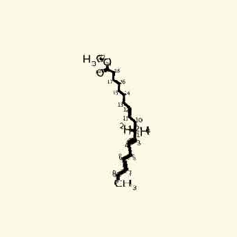 [2H]C([2H])(C=CCC=CCC)CC=CCCCCCCC(=O)OC